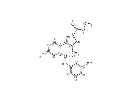 COC(=O)c1cc(-c2ncc(F)cc2OCc2cncc(F)c2)n(C)c1